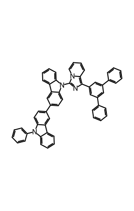 c1ccc(-c2cc(-c3ccccc3)cc(-c3nc(-n4c5ccccc5c5cc(-c6ccc7c(c6)c6ccccc6n7-c6ccccc6)ccc54)n4ccccc34)c2)cc1